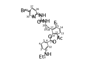 CCNc1cccc(C(=O)Oc2c(C(C)=O)ccc(F)c2C2CC2NC(=O)Nc2ccc(Br)cn2)c1